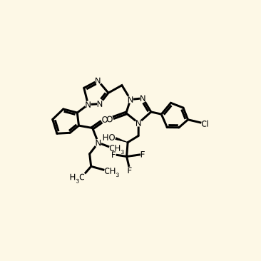 CC(C)CN(C)C(=O)c1ccccc1-n1cnc(Cn2nc(-c3ccc(Cl)cc3)n(C[C@H](O)C(F)(F)F)c2=O)n1